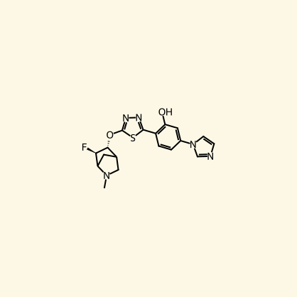 CN1CC2CC1[C@@H](F)[C@@H]2Oc1nnc(-c2ccc(-n3ccnc3)cc2O)s1